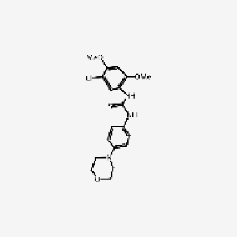 COc1cc(OC)c(NC(=S)Nc2ccc(N3CCOCC3)cc2)cc1Cl